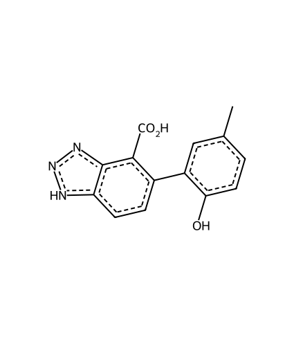 Cc1ccc(O)c(-c2ccc3[nH]nnc3c2C(=O)O)c1